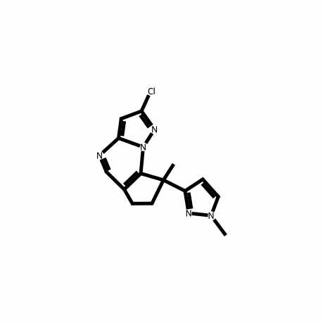 Cn1ccc(C2(C)CCc3cnc4cc(Cl)nn4c32)n1